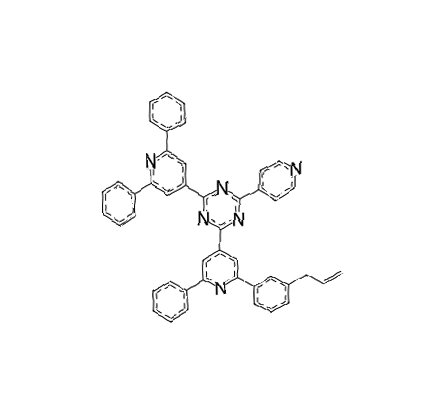 C=CCc1cccc(-c2cc(-c3nc(-c4ccncc4)nc(-c4cc(-c5ccccc5)nc(-c5ccccc5)c4)n3)cc(-c3ccccc3)n2)c1